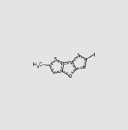 Cc1cc2oc3cc(I)sc3c2s1